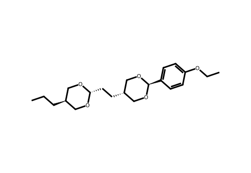 CCC[C@H]1CO[C@H](CC[C@H]2CO[C@H](c3ccc(OCC)cc3)OC2)OC1